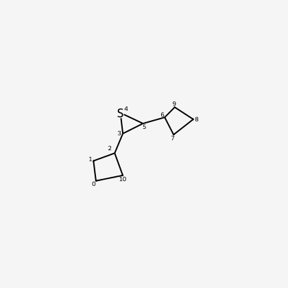 C1CC(C2SC2C2CCC2)C1